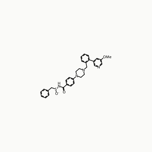 COc1cncc(-c2ccccc2CN2CCN(c3ccc(C(=O)N[S+]([O-])Cc4ccccc4)cc3)CC2)c1